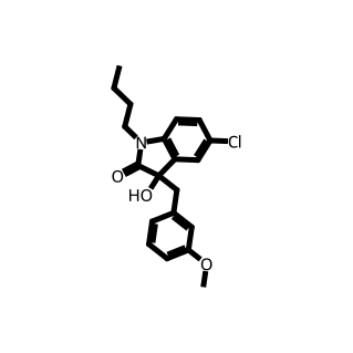 CCCCN1C(=O)C(O)(Cc2cccc(OC)c2)c2cc(Cl)ccc21